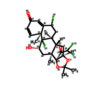 CC1(C)O[C@@H]2C[C@H]3[C@@H]4C[C@H](F)C5=CC(=O)C=C[C@]5(C)[C@@]4(F)[C@@H](O)C[C@]3(C)[C@]2(C(=O)C(F)F)O1